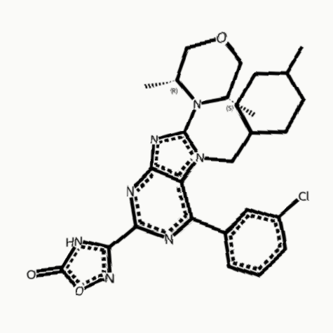 CC1CCC(Cn2c(N3[C@H](C)COC[C@@H]3C)nc3nc(-c4noc(=O)[nH]4)nc(-c4cccc(Cl)c4)c32)CC1